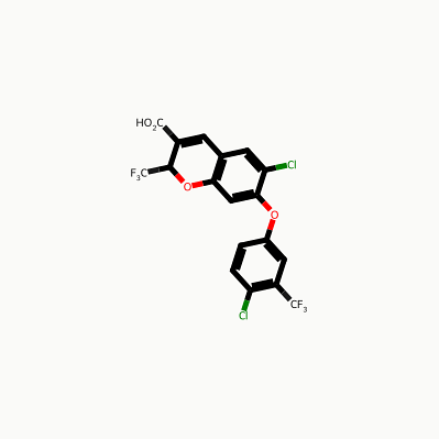 O=C(O)C1=Cc2cc(Cl)c(Oc3ccc(Cl)c(C(F)(F)F)c3)cc2OC1C(F)(F)F